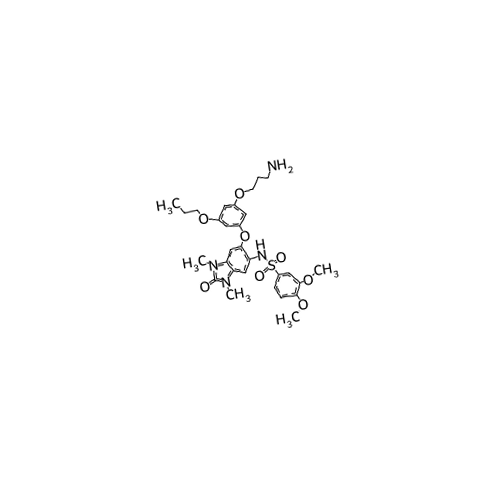 CCCOc1cc(OCCCN)cc(Oc2cc3c(cc2NS(=O)(=O)c2ccc(OC)c(OC)c2)n(C)c(=O)n3C)c1